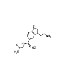 Cl.NCCc1c[nH]c2ccc(C(=O)NCC(N)=O)cc12